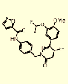 CCC1CC(=O)N(Cc2ccc(NC(=O)c3ccno3)cc2)N=C1c1ccc(OC)c(OC(F)F)c1